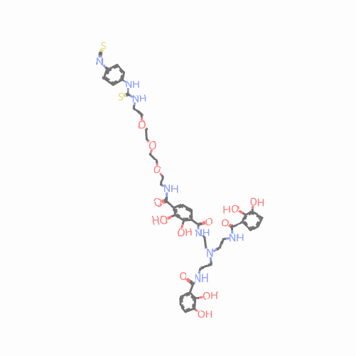 O=C(NCCN(CCNC(=O)c1cccc(O)c1O)CCNC(=O)c1ccc(C(=O)NCCOCCOCCOCCNC(=S)Nc2ccc(N=C=S)cc2)c(O)c1O)c1cccc(O)c1O